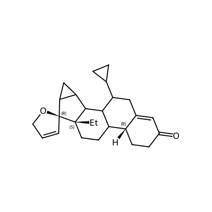 CC[C@]12CCC3C(C(C4CC4)CC4=CC(=O)CC[C@@H]43)C1C1CC1[C@@]21C=CCO1